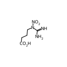 N=C(N)N(CCCC(=O)O)[N+](=O)[O-]